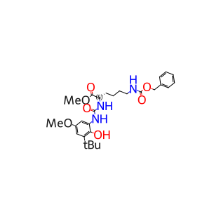 COC(=O)[C@H](CCCCNC(=O)OCc1ccccc1)NC(=O)Nc1cc(OC)cc(C(C)(C)C)c1O